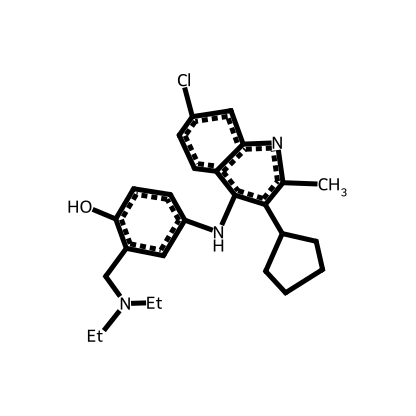 CCN(CC)Cc1cc(Nc2c(C3CCCC3)c(C)nc3cc(Cl)ccc23)ccc1O